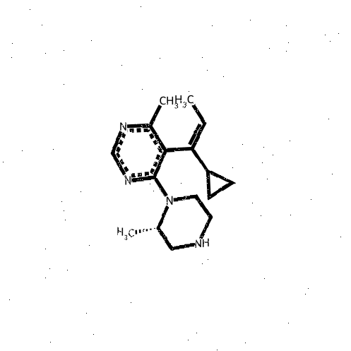 C/C=C(\c1c(C)ncnc1N1CCNC[C@@H]1C)C1CC1